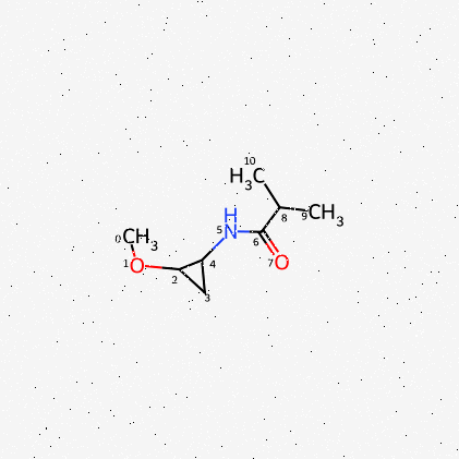 COC1CC1NC(=O)C(C)C